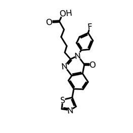 O=C(O)CCCCc1nc2cc(-c3cncs3)ccc2c(=O)n1-c1ccc(F)cc1